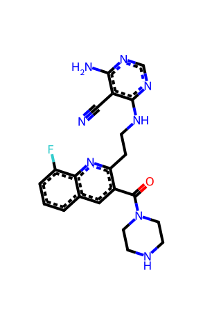 N#Cc1c(N)ncnc1NCCc1nc2c(F)cccc2cc1C(=O)N1CCNCC1